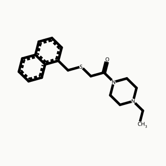 CCN1CCN(C(=O)CSCc2cccc3ccccc23)CC1